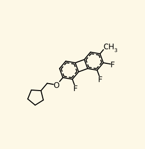 Cc1cc2c(c(F)c1F)-c1c-2ccc(OCC2CCCC2)c1F